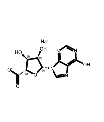 O=C([O-])[C@H]1O[C@@H](n2cnc3c(O)ncnc32)[C@H](O)[C@@H]1O.[Na+]